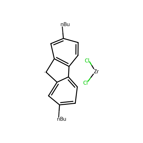 CCCCc1ccc2c(c1)[CH]c1cc(CCCC)ccc1-2.[Cl][Zr][Cl]